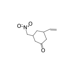 C=CC1CC(=O)CC(C[N+](=O)[O-])C1